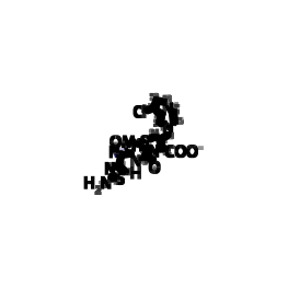 CO/N=C(\C(=O)N[C@@H]1C(=O)N2C(C(=O)[O-])=C(Cn3cc[n+]4ccc(Cl)c-4c3)CS[C@@H]12)c1csc(N)n1